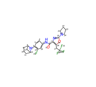 O=C(Nc1ccc(N2C3CCCC2C3)c(F)c1)c1nc(N2CCCC2)oc1CC(F)(F)F